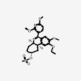 CCOc1cc2c(cc1OC)C(c1ccc(OC)nc1OC)=N[C@@H]1CC[C@@H](OS(C)(=O)=O)C[C@H]21